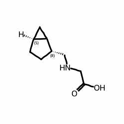 O=C(O)CNC[C@@H]1CC[C@H]2CC12